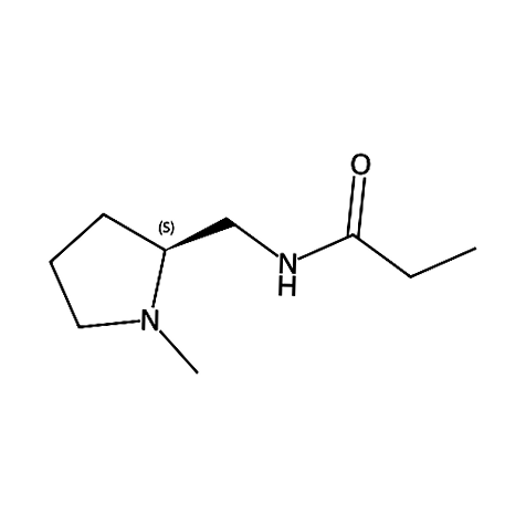 CCC(=O)NC[C@@H]1CCCN1C